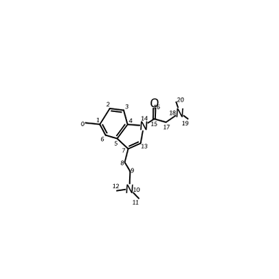 Cc1ccc2c(c1)c(CCN(C)C)cn2C(=O)CN(C)C